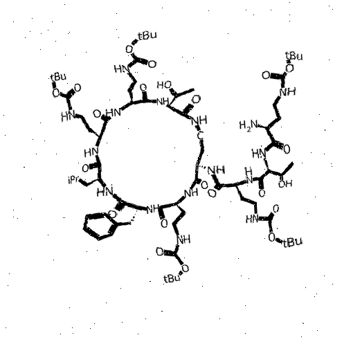 CC(C)C[C@@H]1NC(=O)[C@@H](Cc2ccccc2)NC(=O)[C@H](CCNC(=O)OC(C)(C)C)NC(=O)[C@@H](NC(=O)[C@H](CCNC(=O)OC(C)(C)C)NC(=O)[C@@H](NC(=O)[C@@H](N)CCNC(=O)OC(C)(C)C)C(C)O)CCNC(=O)[C@H](C(C)O)NC(=O)[C@H](CCNC(=O)OC(C)(C)C)NC(=O)[C@H](CCNC(=O)OC(C)(C)C)NC1=O